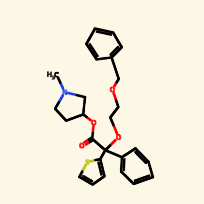 CN1CCC(OC(=O)C(OCCOCc2ccccc2)(c2ccccc2)c2cccs2)C1